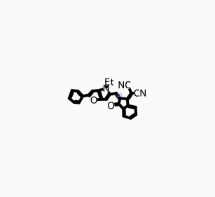 CCn1c(/C=C2\C(=O)c3ccccc3C2=C(C#N)C#N)cc2oc(-c3ccccc3)cc21